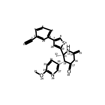 C#Cc1cccc(-c2csc([C@@]3(C)NC(=C)CC(=O)[C@@H]3c3ccc(OC)nc3)c2)c1